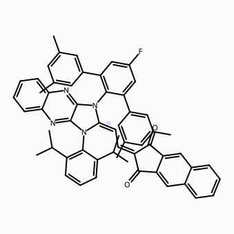 Cc1cc(C)cc(-c2cc(F)cc(-c3cc(C)cc(C)c3)c2N2/C(=C/C=C3C(=O)c4cc5ccccc5cc4C3=O)N(c3c(C(C)C)cccc3C(C)C)c3nc4ccccc4nc32)c1